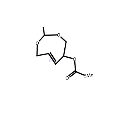 CSC(=O)OC1/C=C/COC(C)OC1